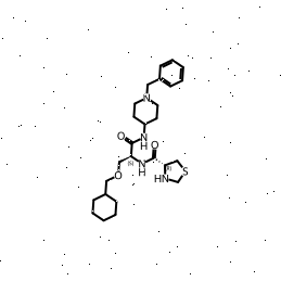 O=C(N[C@@H](COCC1CCCCC1)C(=O)NC1CCN(Cc2ccccc2)CC1)[C@@H]1CSCN1